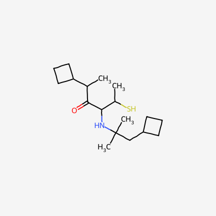 CC(S)C(NC(C)(C)CC1CCC1)C(=O)C(C)C1CCC1